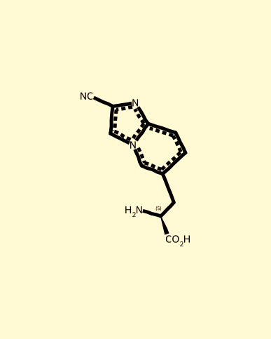 N#Cc1cn2cc(C[C@H](N)C(=O)O)ccc2n1